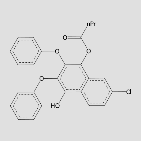 CCCC(=O)Oc1c(Oc2ccccc2)c(Oc2ccccc2)c(O)c2ccc(Cl)cc12